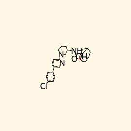 O=C(NC1CCCN(c2ccc(-c3ccc(Cl)cc3)cn2)C1)C12CC3CC(C1)C(O)C(C3)C2